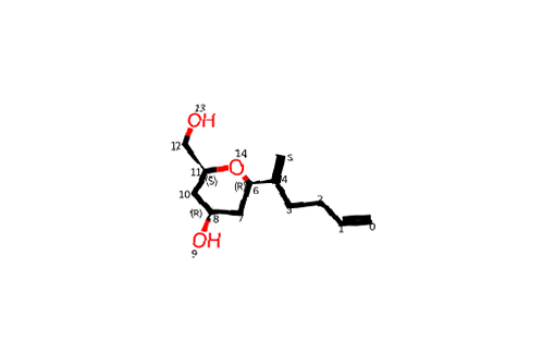 C=CCCC(=C)[C@H]1C[C@@H](O)C[C@@H](CO)O1